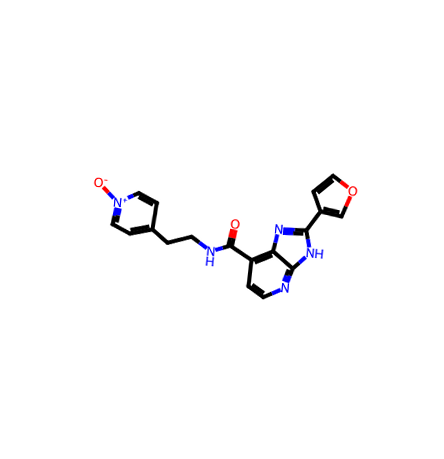 O=C(NCCc1cc[n+]([O-])cc1)c1ccnc2[nH]c(-c3ccoc3)nc12